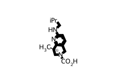 CC(C)CNc1ccc2c(n1)[C@@H](C)CN(C(=O)O)C2